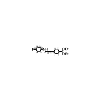 CCOC(OCC)c1ccc(C#CCNc2ccc(F)cc2)cc1